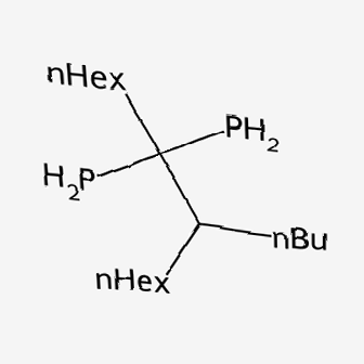 CCCCCCC(CCCC)C(P)(P)CCCCCC